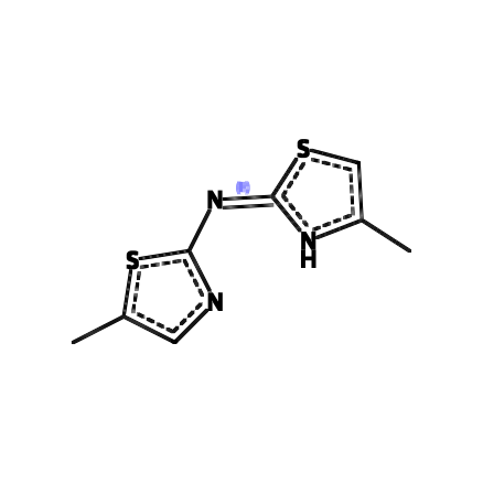 Cc1cs/c(=N/c2ncc(C)s2)[nH]1